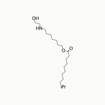 CC(C)CCCCCCCCC(=O)OCCCCCCCNCCO